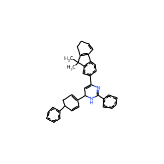 CC1(C)C2=C(C=CCC2)c2ccc(C3=CC(C4=CCC(c5ccccc5)C=C4)NC(c4ccccc4)=N3)cc21